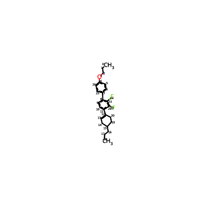 CCCOc1ccc(-c2ccc(C3=CCC(CCC)CC3)c(F)c2F)cc1